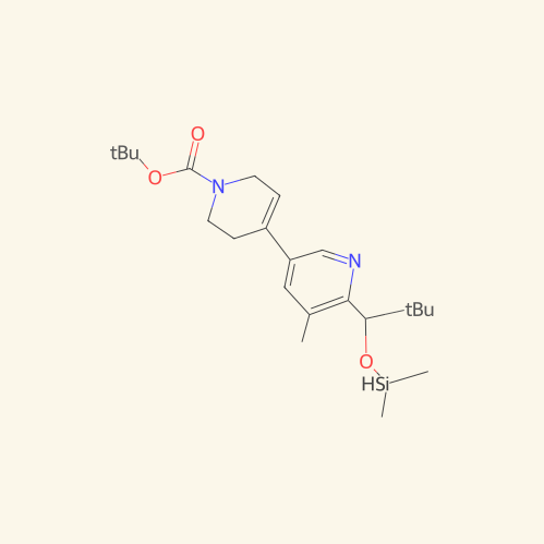 Cc1cc(C2=CCN(C(=O)OC(C)(C)C)CC2)cnc1C(O[SiH](C)C)C(C)(C)C